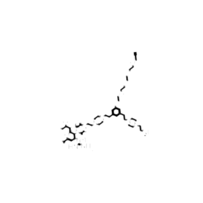 C#CCOCCOCCOCCOCCOc1cc(CCN2CCN(CCNC)CC2)cc(CCN2CCN(CCNC(=O)CO[C@@H]([C@@H]3OC(C(=O)O)=C[C@H](NC(=N)N)[C@H]3NC(C)=O)[C@H](O)CO)CC2)c1